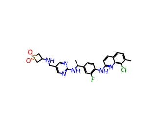 Cc1ccc2ccc(Nc3ccc([C@H](C)Nc4ncc(CNC5CS(=O)(=O)C5)cn4)cc3F)nc2c1Cl